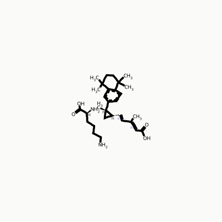 CC(/C=C/[C@@H]1C[C@]1(C)c1ccc2c(c1)C(C)(C)CCC2(C)C)=C\C(=O)O.NCCCC[C@H](N)C(=O)O